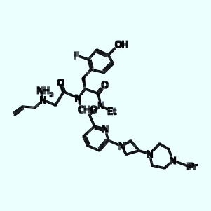 C=CCN(N)CC(=O)N(C=O)[C@@H](Cc1ccc(O)cc1F)C(=O)N(CC)Cc1cccc(N2CC(N3CCN(C(C)C)CC3)C2)n1